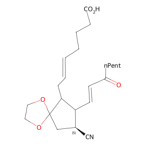 CCCCCC(=O)C=CC1C(CC=CCCCC(=O)O)C2(C[C@@H]1C#N)OCCO2